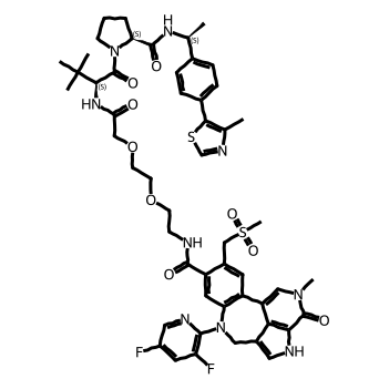 Cc1ncsc1-c1ccc([C@H](C)NC(=O)[C@@H]2CCCN2C(=O)[C@@H](NC(=O)COCCOCCNC(=O)c2cc3c(cc2CS(C)(=O)=O)-c2cn(C)c(=O)c4[nH]cc(c24)CN3c2ncc(F)cc2F)C(C)(C)C)cc1